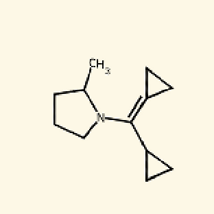 CC1CCCN1C(=C1CC1)C1CC1